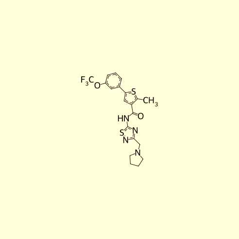 Cc1sc(-c2cccc(OC(F)(F)F)c2)cc1C(=O)Nc1nc(CN2CCCC2)ns1